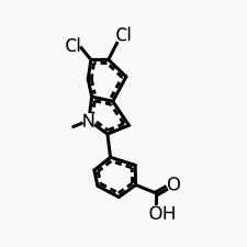 Cn1c(-c2cccc(C(=O)O)c2)cc2cc(Cl)c(Cl)cc21